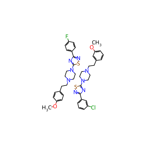 COc1ccc(CCN2CCN(c3nc(-c4ccc(F)cc4)ns3)CC2)cc1.COc1cccc(CCN2CCN(c3nc(-c4cccc(Cl)c4)ns3)CC2)c1